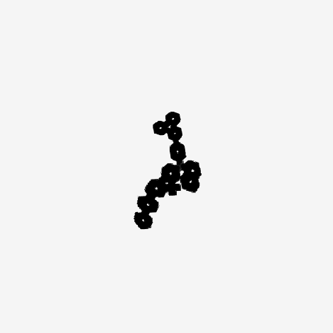 CC1(C)c2cc(-c3ccc(-c4ccccc4)cc3)ccc2-c2ccc(N(c3ccc(-c4ccc5c6ccccc6c6ccccc6c5c4)cc3)c3cccc4ccccc34)cc21